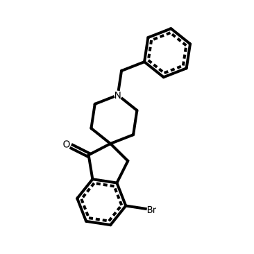 O=C1c2cccc(Br)c2CC12CCN(Cc1ccccc1)CC2